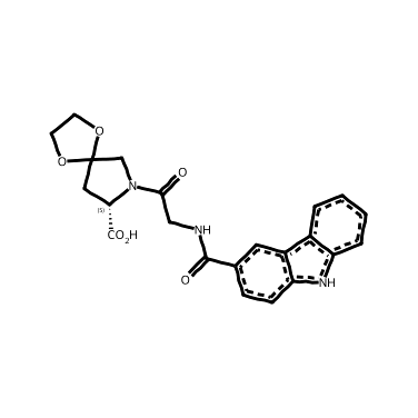 O=C(NCC(=O)N1CC2(C[C@H]1C(=O)O)OCCO2)c1ccc2[nH]c3ccccc3c2c1